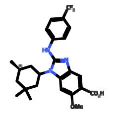 COc1cc2c(cc1C(=O)O)nc(Nc1ccc(C(F)(F)F)cc1)n2C1C[C@H](C)CC(C)(C)C1